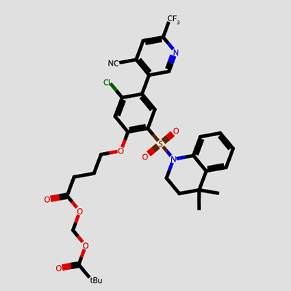 CC(C)(C)C(=O)OCOC(=O)CCCOc1cc(Cl)c(-c2cnc(C(F)(F)F)cc2C#N)cc1S(=O)(=O)N1CCC(C)(C)c2ccccc21